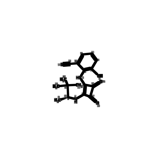 C[C@@H](Nc1c(Nc2c(O)cccc2C#N)c(=O)c1=O)C(C)(C)C